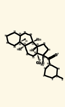 CC1CCCN(C(=O)C2(C(=O)O)CC[C@H]3[C@@H]4CCC5CCCC[C@]5(C)[C@@H]4CC[C@@]32C)C1